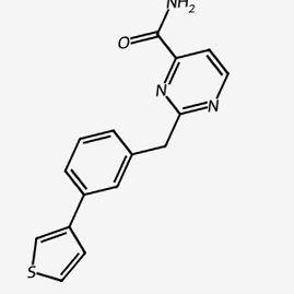 NC(=O)c1ccnc(Cc2cccc(-c3ccsc3)c2)n1